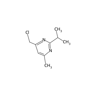 Cc1cc(CCl)nc(C(C)C)n1